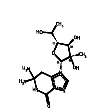 CC(O)[C@H]1O[C@@H](n2cnc3c2CC(N)(N)NC3=O)[C@](C)(O)[C@@H]1O